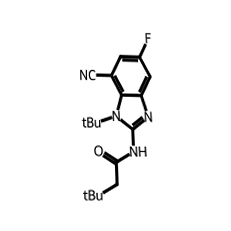 CC(C)(C)CC(=O)Nc1nc2cc(F)cc(C#N)c2n1C(C)(C)C